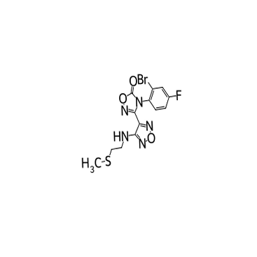 CSCCNc1nonc1-c1noc(=O)n1-c1ccc(F)cc1Br